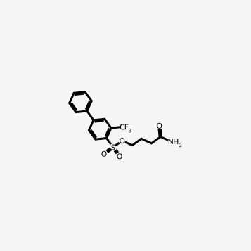 NC(=O)CCCOS(=O)(=O)c1ccc(-c2ccccc2)cc1C(F)(F)F